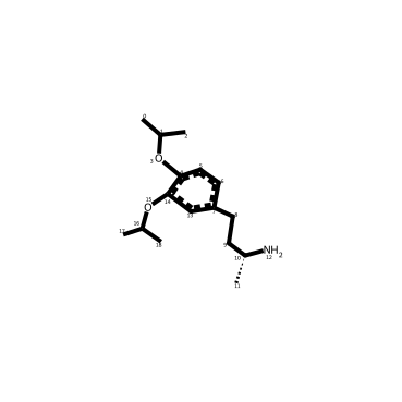 CC(C)Oc1ccc(CC[C@@H](C)N)cc1OC(C)C